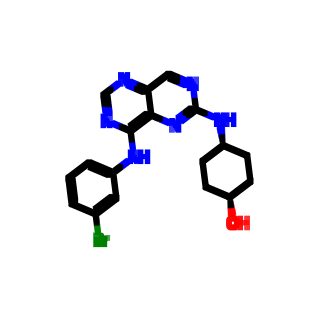 O[C@H]1CC[C@@H](Nc2ncc3ncnc(Nc4cccc(Br)c4)c3n2)CC1